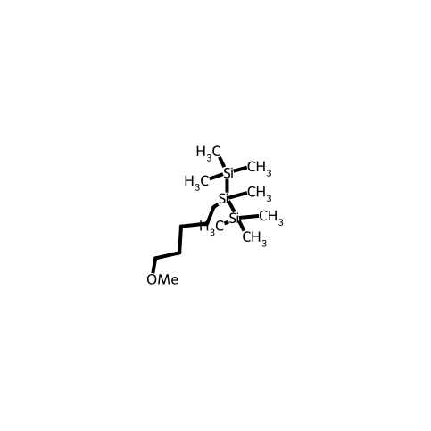 COCCCCC[Si](C)([Si](C)(C)C)[Si](C)(C)C